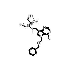 CC[C@@H](O)[C@@H](CO)NCc1cn(COCc2ccccc2)c2c(Cl)ncnc12